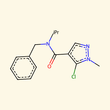 CC(C)N(Cc1ccccc1)C(=O)c1cnn(C)c1Cl